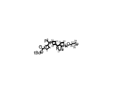 CC(C)(C)OC(=O)N1CCC(C(CF)n2ccc(-c3ncnc4c3ccn4COCC[Si](C)(C)C)c2)C1